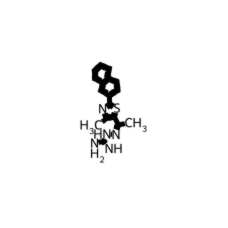 C/C(=N/NC(=N)N)c1sc(-c2ccc3ccccc3c2)nc1C